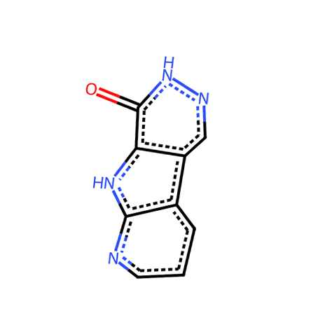 O=c1[nH]ncc2c1[nH]c1ncccc12